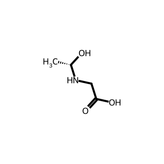 C[C@H](O)NCC(=O)O